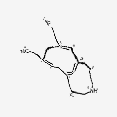 N#Cc1cc2c(cc1F)CNC2